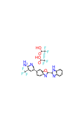 Nc1ncc(-c2ccc3nc(-c4nc5ccccc5[nH]4)oc3c2)cc1C(F)(F)F.O=C(O)C(F)(F)F.O=C(O)C(F)(F)F